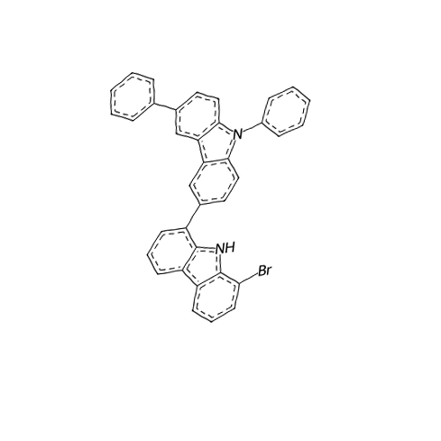 Brc1cccc2c1[nH]c1c(-c3ccc4c(c3)c3cc(-c5ccccc5)ccc3n4-c3ccccc3)cccc12